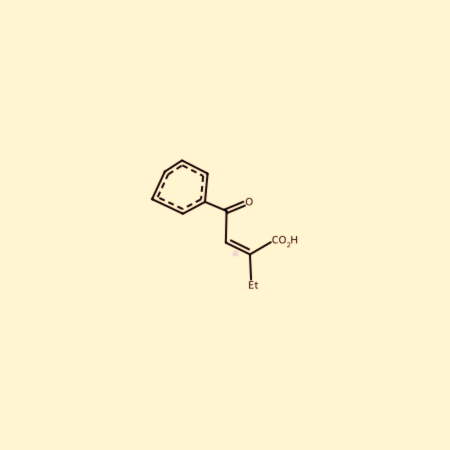 CC/C(=C/C(=O)c1ccccc1)C(=O)O